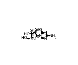 Nc1ncn([C@@H]2O[C@H](CO)[C@](O)([SiH3])[C@H]2[SiH3])c(=O)n1